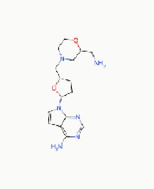 NCC1CN(CC2CCC(n3ccc4c(N)ncnc43)O2)CCO1